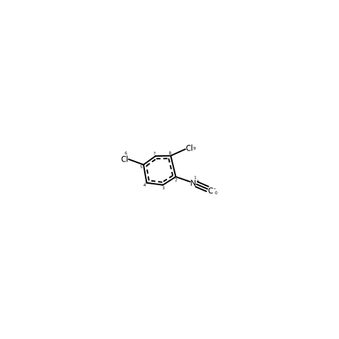 [C-]#[N+]c1ccc(Cl)cc1Cl